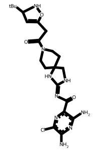 CC(C)(C)C1C=C(CC(=O)N2CCC3(CC2)CN/C(=N\C(=O)c2nc(Cl)c(N)nc2N)N3)ON1